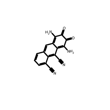 N#Cc1cccc2cc3c(c(C#N)c12)=C(N)C(=O)C(=O)C=3N